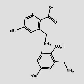 CCCCc1cnc(C(=O)O)c(CN)c1.CCCCc1cnc(C(=O)S)c(CN)c1